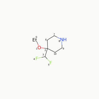 CCOC1(C(F)F)CCNCC1